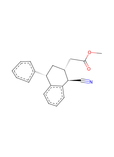 COC(=O)C[C@H]1C[C@@H](c2ccccc2)c2ccccc2[C@@H]1C#N